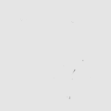 COc1ccc2nccc(CCC[C@H]3CCNC[C@@H]3C(C)(C)O)c2c1